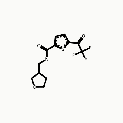 O=C(NCC1CCOC1)c1ccc(C(=O)C(F)(F)F)s1